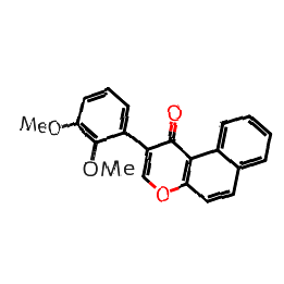 COc1cccc(-c2coc3ccc4ccccc4c3c2=O)c1OC